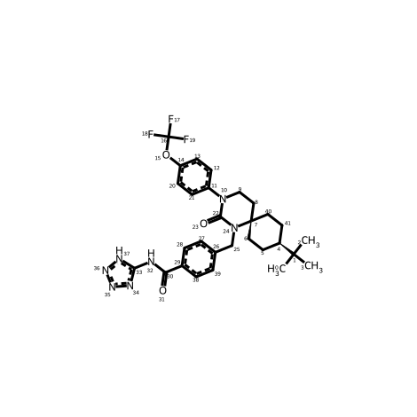 CC(C)(C)[C@H]1CC[C@@]2(CCN(c3ccc(OC(F)(F)F)cc3)C(=O)N2Cc2ccc(C(=O)Nc3nnn[nH]3)cc2)CC1